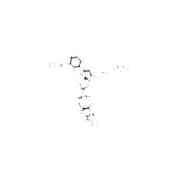 COCCCc1cc(-c2ccc(F)c(C)c2)nn1CC(=O)N1CCc2nc(C)sc2CC1